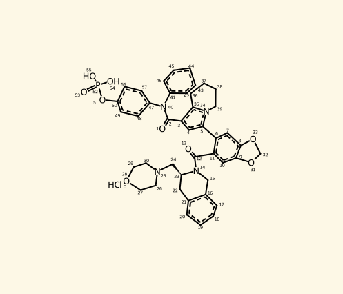 Cl.O=C(c1cc(-c2cc3c(cc2C(=O)N2Cc4ccccc4C[C@H]2CN2CCOCC2)OCO3)n2c1CCCC2)N(c1ccccc1)c1ccc(OP(=O)(O)O)cc1